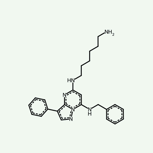 NCCCCCCNc1cc(NCc2ccccc2)n2ncc(-c3ccccc3)c2n1